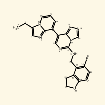 CCc1cnc2c(-c3cnc(NCc4c(F)ccc5c4CCO5)n4cnnc34)cccn12